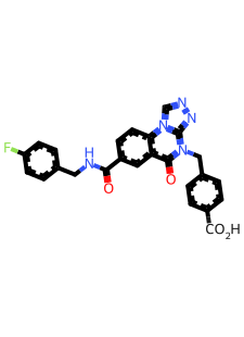 O=C(O)c1ccc(Cn2c(=O)c3cc(C(=O)NCc4ccc(F)cc4)ccc3n3cnnc23)cc1